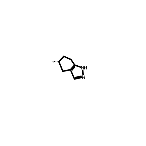 C[C@@H]1CCc2[nH]ncc2C1